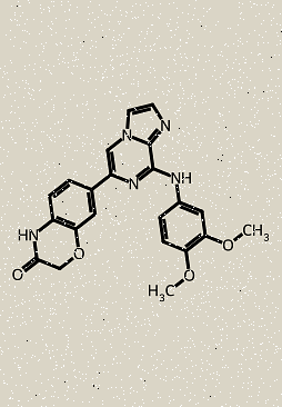 COc1ccc(Nc2nc(-c3ccc4c(c3)OCC(=O)N4)cn3ccnc23)cc1OC